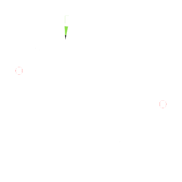 CC(=O)[C@]1(F)CC[C@H](C(=O)C(C)(C)C)CC1